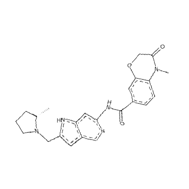 C[C@H]1CCCN1Cc1cc2cnc(NC(=O)c3ccc4c(c3)OCC(=O)N4C)cc2[nH]1